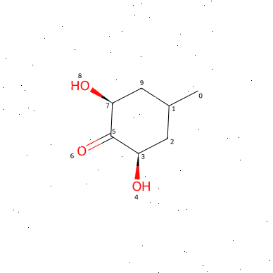 CC1C[C@@H](O)C(=O)[C@@H](O)C1